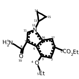 CCOC(=O)c1cc(OCC)c2c(C(N)=O)cn(C3CC3)c2c1